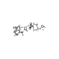 CO[C@H](C)C1CCN(S(=O)(=O)C[C@H]2C[C@@H](N(C)c3ncnc4[nH]ccc34)C2)CC1